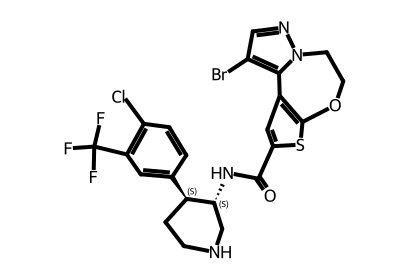 O=C(N[C@@H]1CNCC[C@H]1c1ccc(Cl)c(C(F)(F)F)c1)c1cc2c(s1)OCCn1ncc(Br)c1-2